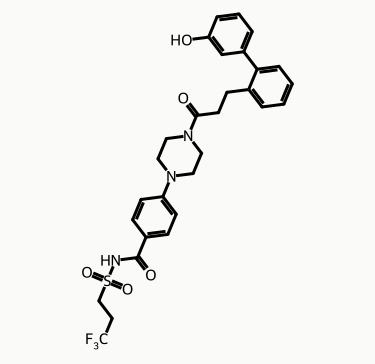 O=C(NS(=O)(=O)CCC(F)(F)F)c1ccc(N2CCN(C(=O)CCc3ccccc3-c3cccc(O)c3)CC2)cc1